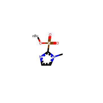 CCCCOS(=O)(=O)c1nccn1C